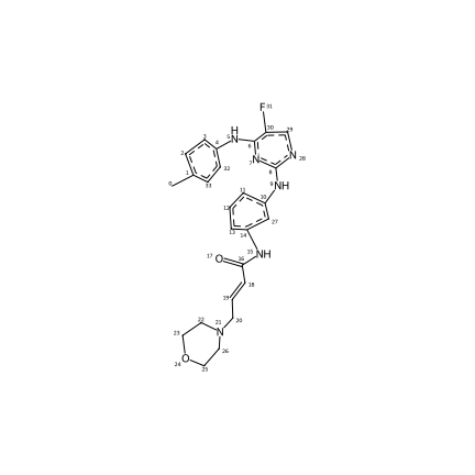 Cc1ccc(Nc2nc(Nc3cccc(NC(=O)/C=C/CN4CCOCC4)c3)ncc2F)cc1